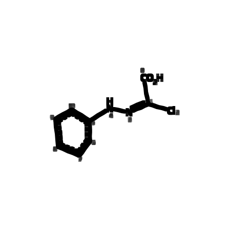 O=C(O)/C(Cl)=N\Nc1ccccc1